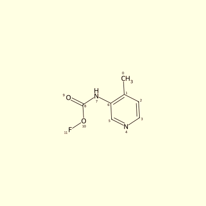 Cc1ccncc1NC(=O)OF